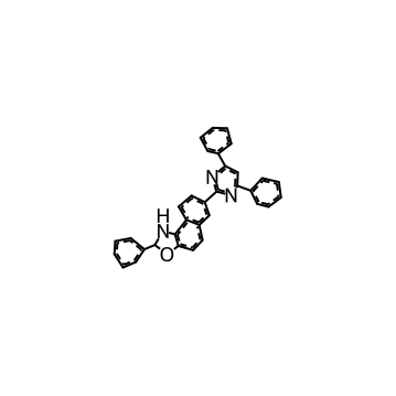 c1ccc(-c2cc(-c3ccccc3)nc(-c3ccc4c5c(ccc4c3)OC(c3ccccc3)N5)n2)cc1